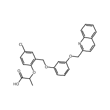 CC(Oc1ccc(Cl)cc1COc1cccc(OCc2ccc3ccccc3n2)c1)C(=O)O